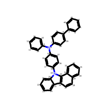 c1ccc(-c2ccc(N(c3ccccc3)c3ccc(-n4c5ccccc5c5ccc6ccccc6c54)cc3)cc2)cc1